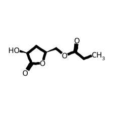 CCC(=O)OC[C@@H]1C[C@H](O)C(=O)O1